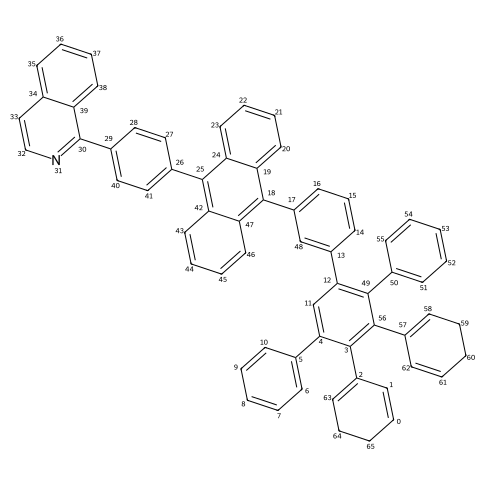 C1=CC(c2c(-c3ccccc3)cc(-c3cccc(-c4c5ccccc5c(-c5ccc(-c6nccc7ccccc67)cc5)c5ccccc45)c3)c(-c3ccccc3)c2C2=CCCC=C2)=CCC1